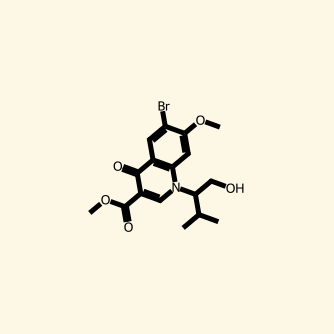 COC(=O)c1cn(C(CO)C(C)C)c2cc(OC)c(Br)cc2c1=O